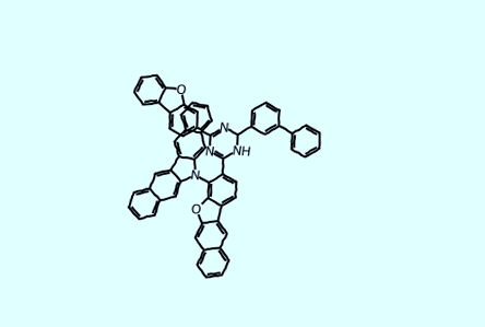 c1ccc(-c2cccc(C3N=C(c4ccc5c(c4)oc4ccccc45)N=C(c4ccc5c(oc6cc7ccccc7cc65)c4-n4c5cc6ccccc6cc5c5cc6ccccc6cc54)N3)c2)cc1